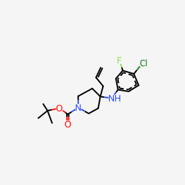 C=CCC1(Nc2ccc(Cl)c(F)c2)CCN(C(=O)OC(C)(C)C)CC1